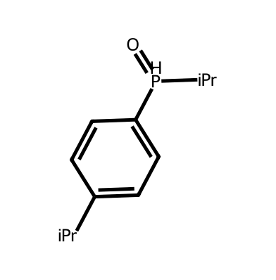 CC(C)c1ccc([PH](=O)C(C)C)cc1